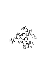 Cc1cnc(N2CCC(NC3CCOCC3)C(CO)C2)c(C(=O)NC(C)N)c1